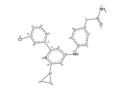 NC(=O)Cc1ccc(Nc2cc(-c3cccc(Cl)c3)nc(C3CC3)c2)cc1